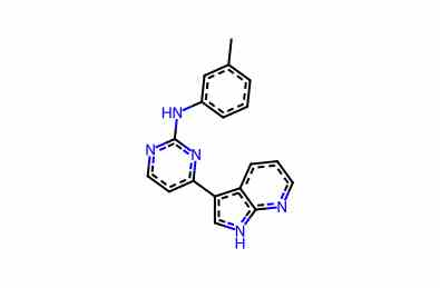 Cc1cccc(Nc2nccc(-c3c[nH]c4ncccc34)n2)c1